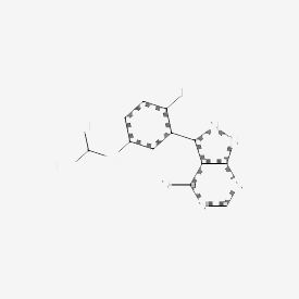 CC(C)Oc1ccc(F)c(-c2n[nH]c3ncnc(N)c23)c1